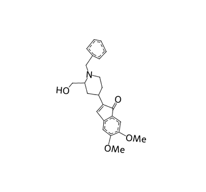 COc1cc2c(cc1OC)C(=O)C(C1CCN(Cc3ccccc3)C(CO)C1)=C2